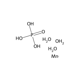 O.O.O.O=P(O)(O)O.[Mn]